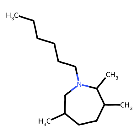 CCCCCCN1CC(C)CCC(C)C1C